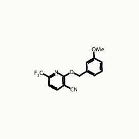 COc1cccc(COc2nc(C(F)(F)F)ccc2C#N)c1